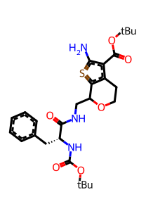 CC(C)(C)OC(=O)N[C@H](Cc1ccccc1)C(=O)NCC1OCCc2c1sc(N)c2C(=O)OC(C)(C)C